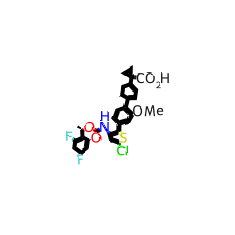 COc1cc(-c2sc(Cl)cc2NC(=O)O[C@H](C)c2ccc(F)cc2F)ccc1C1=CC=C(C2(C(=O)O)CC2)CC1